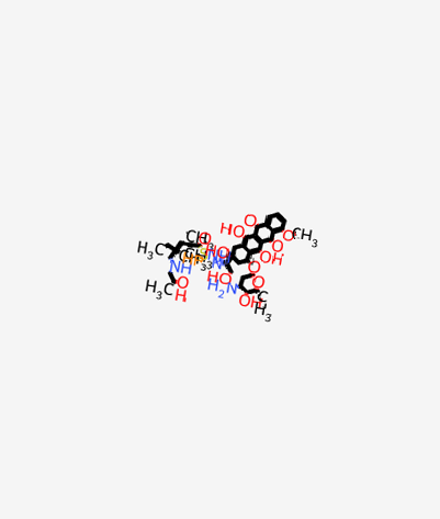 CCC(C)(CNCC(C)O)CC(C)(C)C(=O)S(=P)N/N=C(/CO)[C@]1(O)Cc2c(O)c3c(c(O)c2[C@@H](OC2CC(N)C(O)C(C)O2)C1)C(=O)c1c(OC)cccc1C3=O